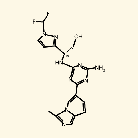 Cc1ncc2ccc(-c3nc(N)nc(N[C@@H](CO)c4ccn(C(F)F)n4)n3)cn12